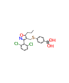 CCCc1onc(-c2c(Cl)cccc2Cl)c1CSc1ccc(B(O)O)cc1